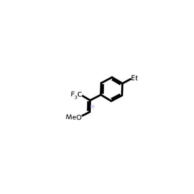 CCc1ccc(/C(=C/OC)C(F)(F)F)cc1